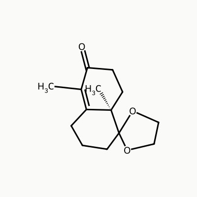 CC1=C2CCCC3(OCCO3)[C@]2(C)CCC1=O